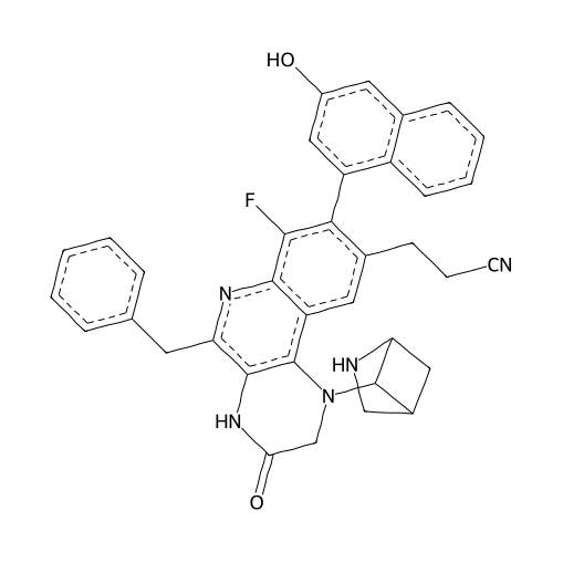 N#CCCc1cc2c3c(c(Cc4ccccc4)nc2c(F)c1-c1cc(O)cc2ccccc12)NC(=O)CN3C1C2CNC1C2